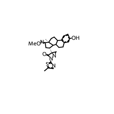 CO/N=C1\C[C@@H](C23CN2N(c2ncc(C)s2)C3=O)C2C3CCc4cc(O)ccc4C3CC[C@]12C